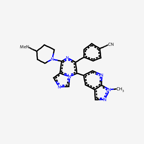 CNC1CCN(c2nc(-c3ccc(C#N)cc3)c(-c3cnc4c(cnn4C)c3)n3cncc23)CC1